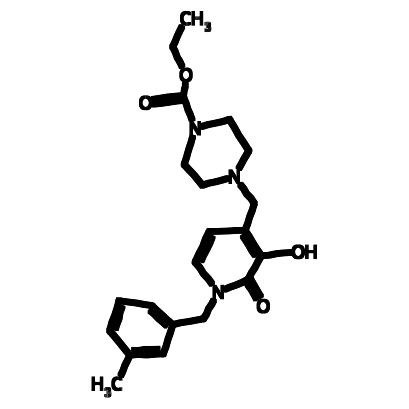 CCOC(=O)N1CCN(Cc2ccn(Cc3cccc(C)c3)c(=O)c2O)CC1